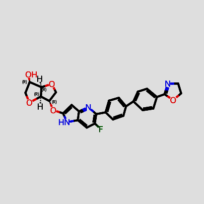 O[C@@H]1CO[C@H]2[C@@H]1OC[C@H]2Oc1cc2nc(-c3ccc(-c4ccc(C5=NCCO5)cc4)cc3)c(F)cc2[nH]1